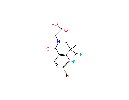 O=C(O)CN1CC2(CC2(F)F)c2c(ccc(Br)c2F)C1=O